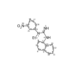 CCN(C(=N)Nc1cccc2ccccc12)c1cccc([N+](=O)[O-])c1